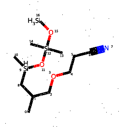 CC(COCCC#N)C[SiH](C)O[Si](C)(C)O[SiH3]